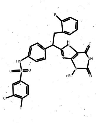 CCCCn1c(=O)[nH]c(=O)c2[nH]c(C(Cc3ccccc3F)c3ccc(NS(=O)(=O)c4ccc(F)c(Cl)c4)cc3)nc21